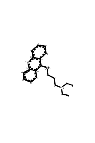 CCN(CC)CCCNc1c2ccccc2nc2ccccc12